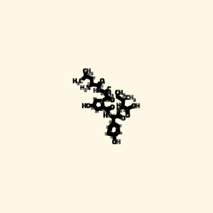 CC[C@H](C)C(NC(=O)C(NC(=O)C1CC(O)CN1C(=O)[C@H](C)NC(=O)[C@@H](N)CC(C)C)c1ccc(O)cc1)C(=O)O